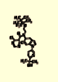 CC(C)(O)c1ccc(-n2ccc3cc(N(CCO[Si](C)(C)C(C)(C)C)C(=O)c4c(Cl)ncnc4Cl)ccc32)cn1